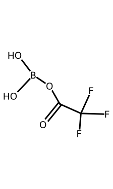 O=C(OB(O)O)C(F)(F)F